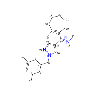 C=C(C)CC(CCC)Cn1cc(/C(=N/C)C2=C(C)CCCCC2)cn1